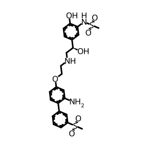 CS(=O)(=O)Nc1cc([C@@H](O)CNCCOc2ccc(-c3cccc(S(C)(=O)=O)c3)c(N)c2)ccc1O